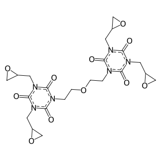 O=c1n(CCOCCn2c(=O)n(CC3CO3)c(=O)n(CC3CO3)c2=O)c(=O)n(CC2CO2)c(=O)n1CC1CO1